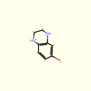 Brc1ccc2c(c1)NCCN2